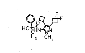 Cn1nc(C2CC(F)(F)C2)c(C2CCC2)c1NC(=O)[C@@](C)(O)c1ccccc1